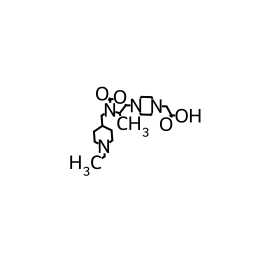 CCN1CCC(CN2C(=O)OC(N3CCN(CC(=O)O)CC3)C2C)CC1